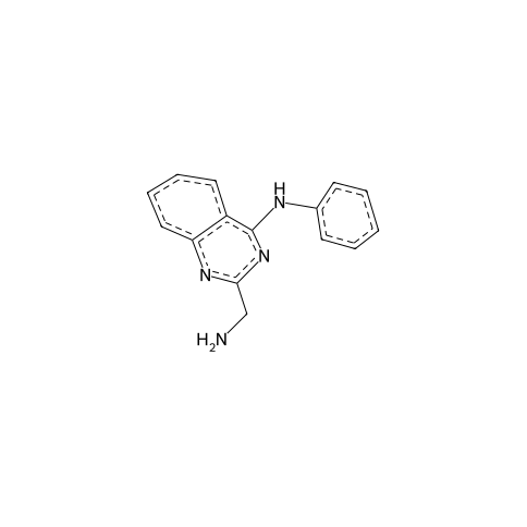 NCc1nc(Nc2ccccc2)c2ccccc2n1